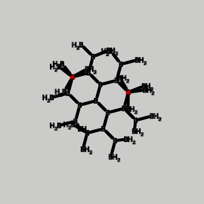 BB(B)B(B)B(B(B)B)B(B(B(B(B)B)B(B)B)B(B(B)B)B(B)B)B(B(B(B)B)B(B)B)B(B(B)B)B(B)B